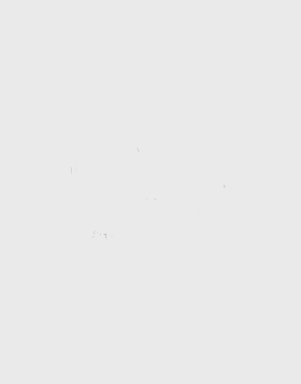 CCCCCC(OCCC)=C(OCCC)OCOCCC